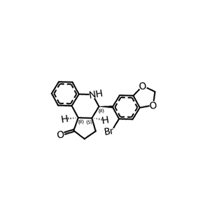 O=C1CC[C@@H]2[C@H](c3cc4c(cc3Br)OCO4)Nc3ccccc3[C@H]12